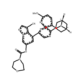 COc1ccc(CN2[C@@H]3C[C@H]2CN(c2cnc(-c4cc(OC(=O)N5CCOCC5)cn5ncc(C#N)c45)cn2)C3)cn1